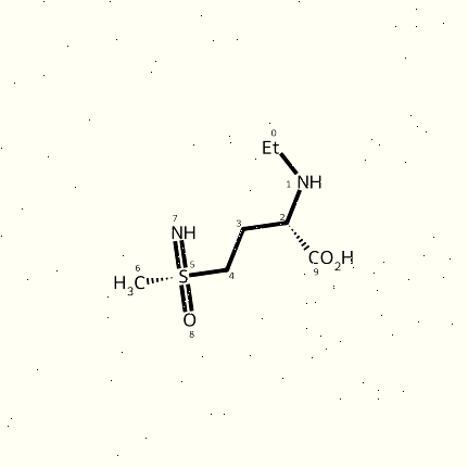 CCN[C@@H](CC[S@](C)(=N)=O)C(=O)O